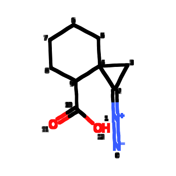 [N-]=[N+]=C1CC12CCCCC2C(=O)O